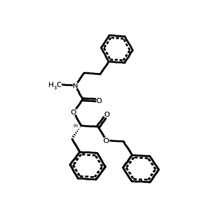 CN(CCc1ccccc1)C(=O)O[C@@H](Cc1ccccc1)C(=O)OCc1ccccc1